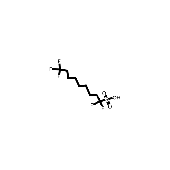 O=S(=O)(O)C(F)(F)CCCCCCCC(F)(F)F